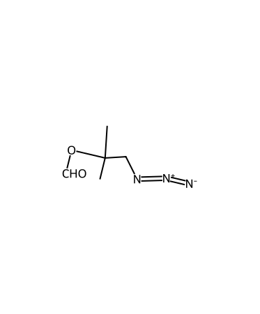 CC(C)(CN=[N+]=[N-])OC=O